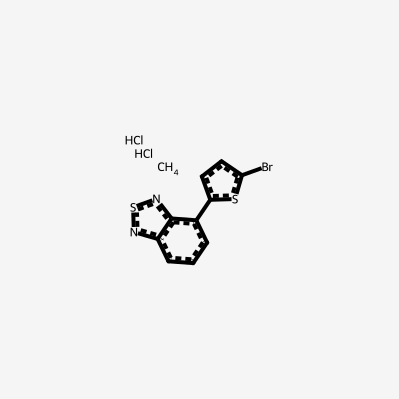 Brc1ccc(-c2cccc3nsnc23)s1.C.Cl.Cl